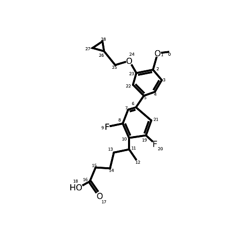 COc1ccc(-c2cc(F)c(C(C)CCCC(=O)O)c(F)c2)cc1OCC1CC1